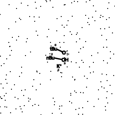 CC(C)(C)[O-].CCCCO.[K+]